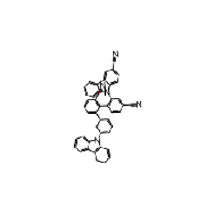 N#Cc1ccc(-c2c(C#N)cccc2C2C=CC=C(n3c4c(c5ccccc53)CCC=C4)C2)c(-n2c3ccccc3c3cc(C#N)ccc32)c1